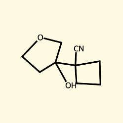 N#CC1(C2(O)CCOC2)CCC1